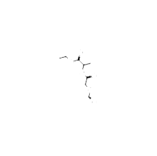 CCOC(=O)C(C)OC(=O)COC=O